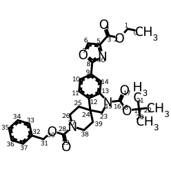 CCOC(=O)c1coc(-c2ccc3c(c2)N(C(=O)OC(C)(C)C)CC32CCN(C(=O)OCc3ccccc3)CC2)n1